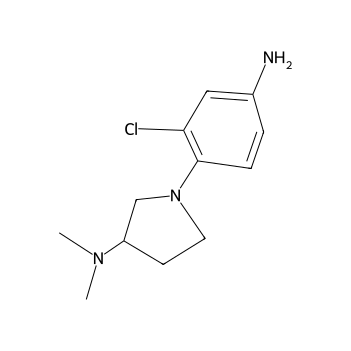 CN(C)C1CCN(c2ccc(N)cc2Cl)C1